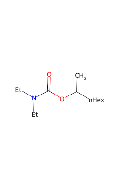 CCCCCCC(C)OC(=O)N(CC)CC